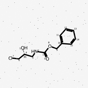 O=C(NC[C@@H](O)CCl)OCc1ccccc1